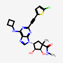 CNC(=O)C1(C)C[C@@H](n2cnc3c(NC4CCC4)nc(C#Cc4ccc(Cl)s4)nc32)[C@H](O)[C@@H]1O